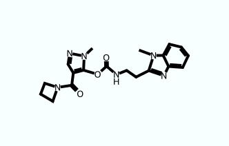 Cn1ncc(C(=O)N2CCC2)c1OC(=O)NCCc1nc2ccccc2n1C